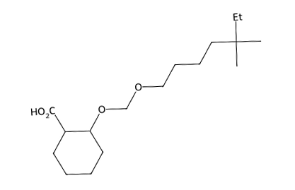 CCC(C)(C)CCCCOCOC1CCCCC1C(=O)O